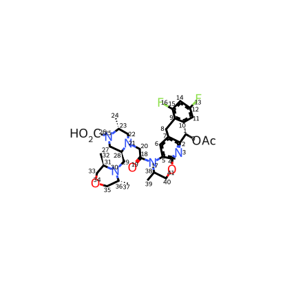 CC(=O)OCc1nc2c(cc1Cc1ccc(F)cc1F)N(C(=O)CN1C[C@@H](C)N(C(=O)O)C[C@@H]1CN1[C@H](C)COC[C@H]1C)C(C)CO2